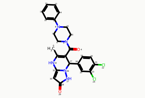 CC1=C(C(=O)N2CCN(c3ccccc3)CC2)C(c2ccc(Cl)c(Cl)c2)n2[nH]c(=O)cc2N1